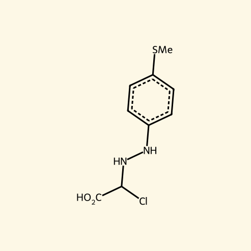 CSc1ccc(NNC(Cl)C(=O)O)cc1